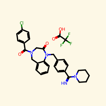 N=C(c1ccc(CN2C(=O)CN(C(=O)c3ccc(Cl)cc3)Cc3ccccc32)cc1)N1CCCCC1.O=C(O)C(F)(F)F